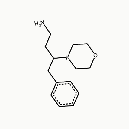 NCCC(Cc1ccccc1)N1CCOCC1